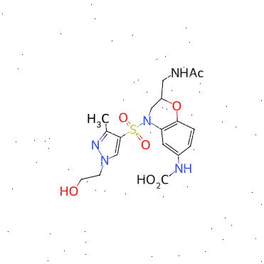 CC(=O)NCC1CN(S(=O)(=O)c2cn(CCO)nc2C)c2cc(NC(=O)O)ccc2O1